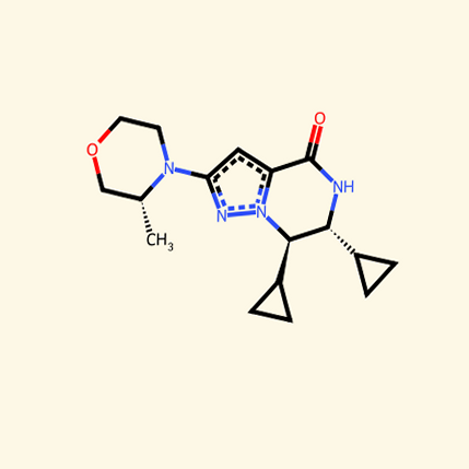 C[C@@H]1COCCN1c1cc2n(n1)[C@H](C1CC1)[C@@H](C1CC1)NC2=O